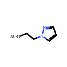 COCCn1cc[c]n1